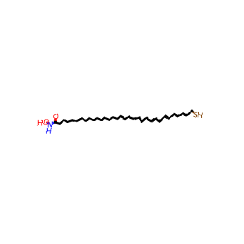 O=C(CCCCCCCCCCCCCCCCCCCCCCCCCCCCCCCCS)NO